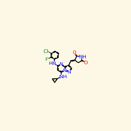 O=C1C/C(=C\c2cnn3c(NC4CC4)cc(Nc4cccc(Cl)c4F)nc23)C(=O)N1